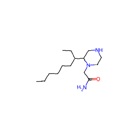 CCCCCCC(CC)C1CNCCN1CC(N)=O